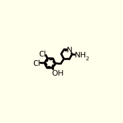 NC1CC(Cc2cc(Cl)c(Cl)cc2O)CC=N1